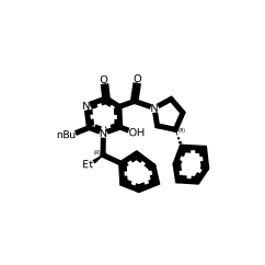 CCCCc1nc(=O)c(C(=O)N2CC[C@H](c3ccccc3)C2)c(O)n1[C@H](CC)c1ccccc1